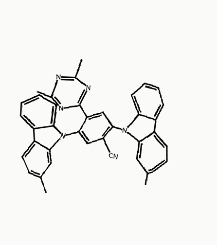 Cc1ccc2c3ccccc3n(-c3cc(-c4nc(C)nc(C)n4)c(-n4c5ccccc5c5ccc(C)cc54)cc3C#N)c2c1